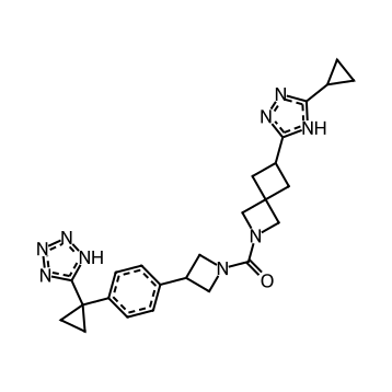 O=C(N1CC(c2ccc(C3(c4nnn[nH]4)CC3)cc2)C1)N1CC2(CC(c3nnc(C4CC4)[nH]3)C2)C1